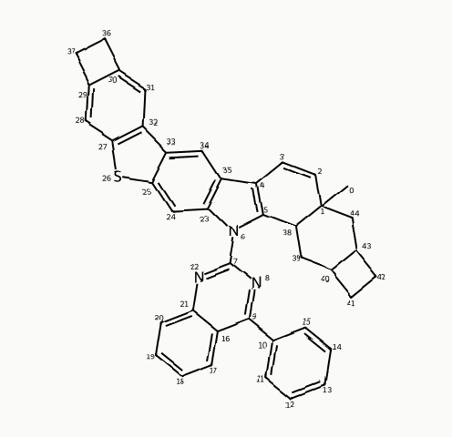 CC12C=Cc3c(n(-c4nc(-c5ccccc5)c5ccccc5n4)c4cc5sc6cc7c(cc6c5cc34)CC7)C1CC1CCC1C2